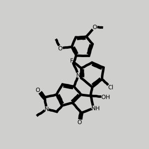 COc1ccc(CNc2cc3c(c4c2C(O)(c2cc(F)ccc2Cl)NC4=O)CN(C)C3=O)c(OC)c1